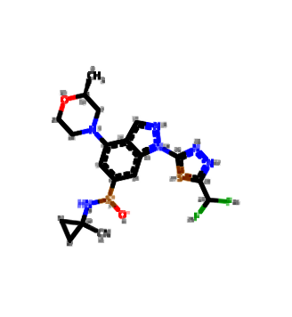 C[C@H]1CN(c2cc([S+]([O-])NC3(C#N)CC3)cc3c2cnn3-c2nnc(C(F)F)s2)CCO1